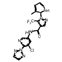 CC1=CC=CNC1n1ncc(C(=O)Nc2cnc(-n3nccn3)c(Cl)c2)c1C(F)(F)F